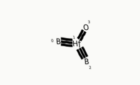 [B]#[Hf](#[B])=[O]